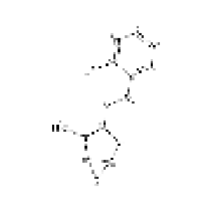 CN1C(COc2cccnc2F)CC2CC21